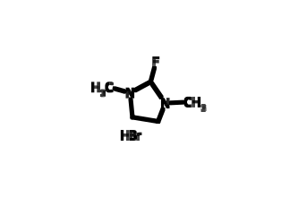 Br.CN1CCN(C)C1F